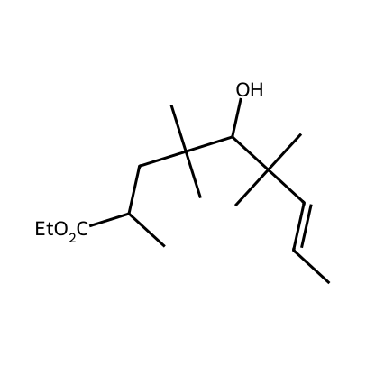 CC=CC(C)(C)C(O)C(C)(C)CC(C)C(=O)OCC